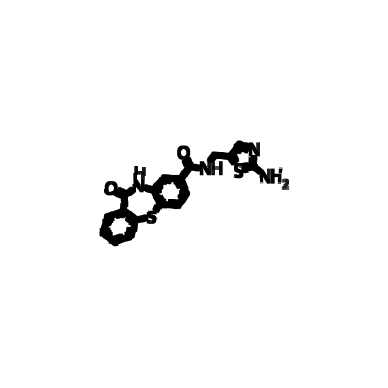 Nc1ncc(CNC(=O)c2ccc3c(c2)NC(=O)c2ccccc2S3)s1